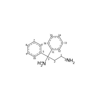 NCCC(N)(c1ccccc1)c1ccccc1